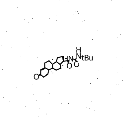 CC(C)(C)NC(=O)NC(=O)C1CCC2C3CCC4=CC(=O)CC[C@]4(C)C3CC[C@]12C